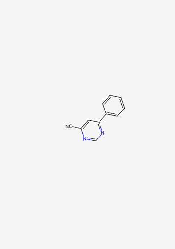 N#Cc1cc(-c2ccccc2)ncn1